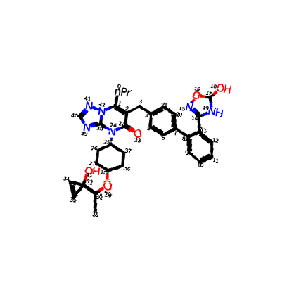 CCCc1c(Cc2ccc(-c3ccccc3C3=NOC(O)N3)cc2)c(=O)n([C@H]2CC[C@H](OC(C)C3(O)C=C3)CC2)c2ncnn12